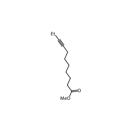 [CH2]CC#CCCCCCCC(=O)OC